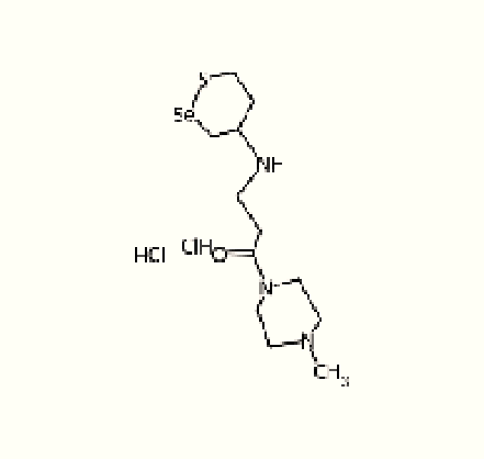 CN1CCN(C(=O)CCNC2CCS[Se]C2)CC1.Cl.Cl